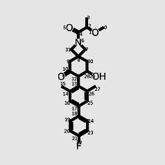 COC(C)C(=O)N1CC2(CC(=O)C(c3c(C)cc(-c4ccc(F)cc4)cc3C)C(O)C2)C1